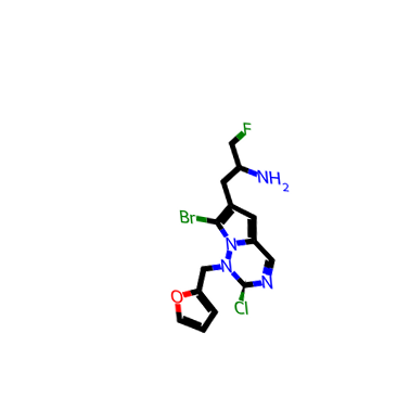 NC(CF)Cc1cc2n(c1Br)N(Cc1ccco1)[C@H](Cl)N=C2